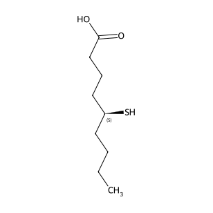 CCCC[C@H](S)CCCC(=O)O